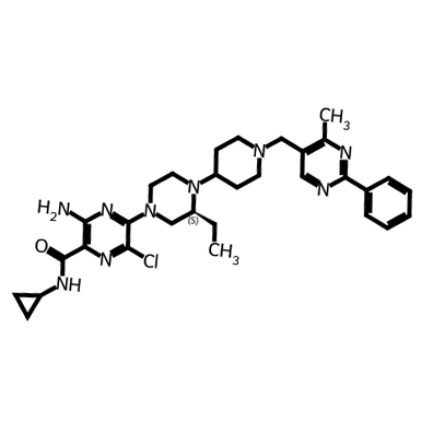 CC[C@H]1CN(c2nc(N)c(C(=O)NC3CC3)nc2Cl)CCN1C1CCN(Cc2cnc(-c3ccccc3)nc2C)CC1